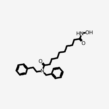 O=C(CCCCCCCCC(=O)N(CCc1ccccc1)Cc1ccccc1)NO